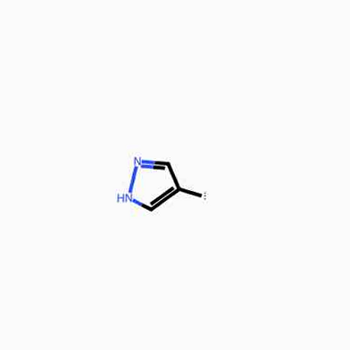 [C]c1cn[nH]c1